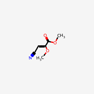 COC(=O)C(=CC#N)OC